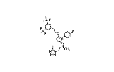 CN(CCc1nnn[nH]1)C[C@@H]1CC[C@H](OCCc2cc(C(F)(F)F)cc(C(F)(F)F)c2)[C@H]1c1ccc(F)cc1